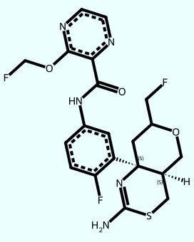 NC1=N[C@@]2(c3cc(NC(=O)c4nccnc4OCF)ccc3F)CC(CF)OC[C@H]2CS1